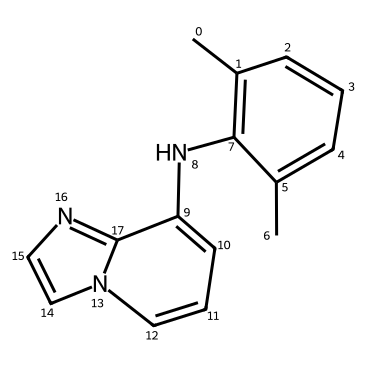 Cc1cccc(C)c1Nc1cccn2ccnc12